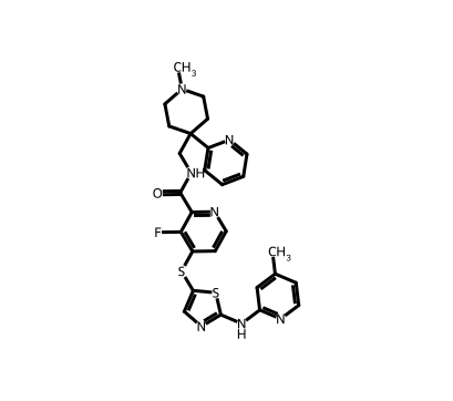 Cc1ccnc(Nc2ncc(Sc3ccnc(C(=O)NCC4(c5ccccn5)CCN(C)CC4)c3F)s2)c1